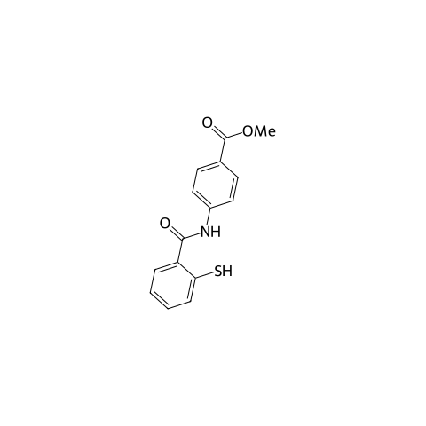 COC(=O)c1ccc(NC(=O)c2ccccc2S)cc1